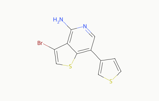 Nc1ncc(-c2ccsc2)c2scc(Br)c12